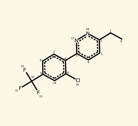 CCc1ccc(-c2ccc(C(F)(F)F)cc2Cl)nn1